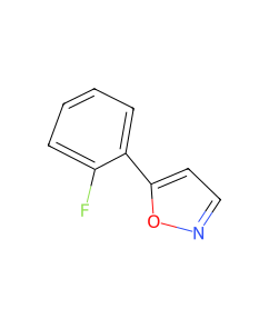 Fc1ccccc1-c1ccno1